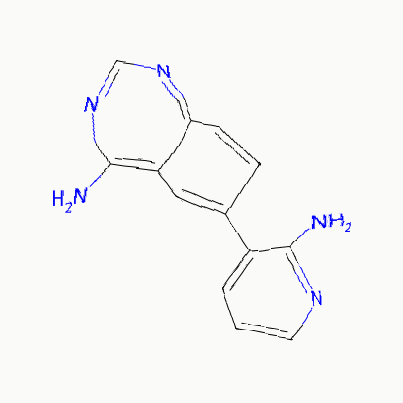 Nc1ncccc1-c1ccc2ncnc(N)c2c1